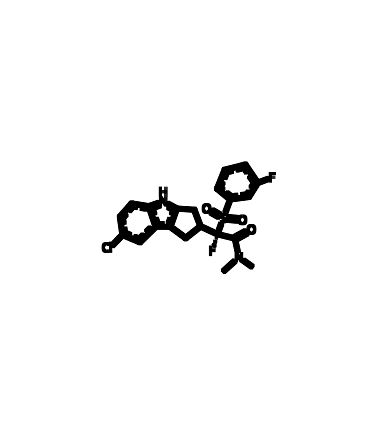 CN(C)C(=O)[C@@](F)(C1Cc2[nH]c3ccc(Cl)cc3c2C1)S(=O)(=O)c1cccc(F)c1